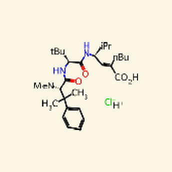 CCCC/C(=C\[C@@H](NC(=O)[C@@H](NC(=O)[C@@H](NC)C(C)(C)c1ccccc1)C(C)(C)C)C(C)C)C(=O)O.[Cl-].[H+]